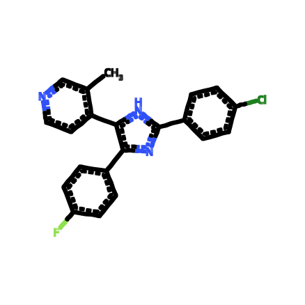 Cc1cnccc1-c1[nH]c(-c2ccc(Cl)cc2)nc1-c1ccc(F)cc1